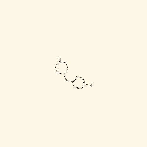 Ic1ccc(OC2CCNCC2)cc1